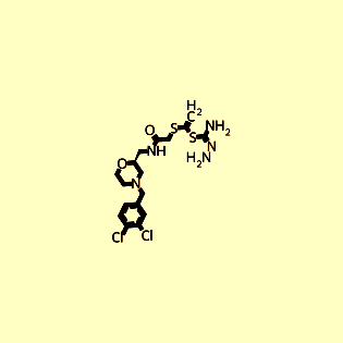 C=C(SCC(=O)NC[C@H]1CN(Cc2ccc(Cl)c(Cl)c2)CCO1)S/C(N)=N\N